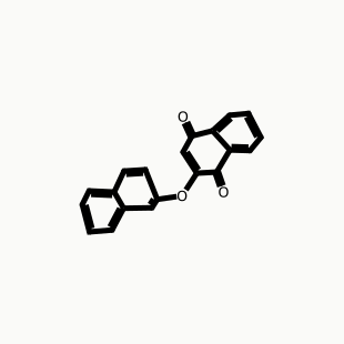 O=C1C=C(Oc2ccc3ccccc3c2)C(=O)c2ccccc21